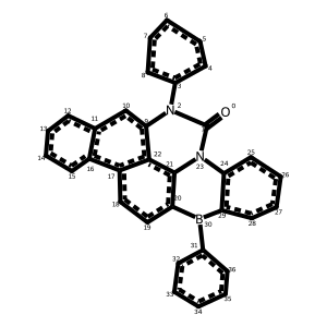 O=C1N(c2ccccc2)c2cc3ccccc3c3ccc4c(c23)N1c1ccccc1B4c1ccccc1